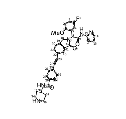 COc1ccc(F)cc1C(C(=O)Nc1nccs1)N1Cc2ccc(C#Cc3ccc(C(=O)NC4CCNCC4)nc3)cc2C1=O